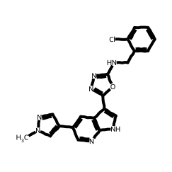 Cn1cc(-c2cnc3[nH]cc(-c4nnc(NCc5ccccc5Cl)o4)c3c2)cn1